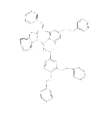 OC1C(c2ccc(OCc3ccccc3)c(OCc3ccccc3)c2)Oc2cc(OCc3ccccc3)cc(OCc3ccccc3)c2C1n1c(=S)sc2ccccc21